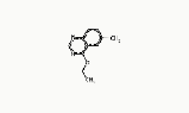 CCOc1ncnc2ccc(C)cc12